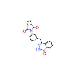 O=C1C2CCC2C(=O)N1c1cccc(Cc2n[nH]c(=O)c3ccccc23)c1